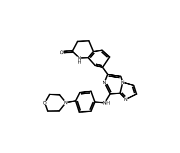 O=C1CCc2ccc(-c3cn4ccnc4c(Nc4ccc(N5CCOCC5)cc4)n3)cc2N1